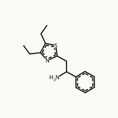 CCc1nc(CC(N)c2ccccc2)sc1CC